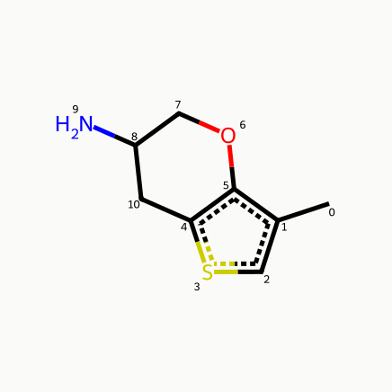 Cc1csc2c1OCC(N)C2